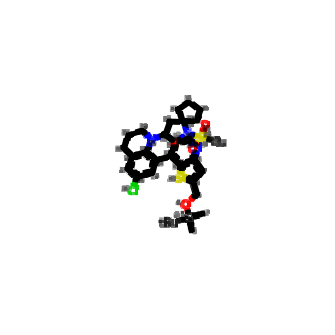 CC(C)(C)[Si](C)(C)OCc1cc2nccc(-c3cc(Cl)cc4c3N(C3CN(S(=O)(=O)C(C)(C)C)C5(CCCC5)C3)CCC4)c2s1